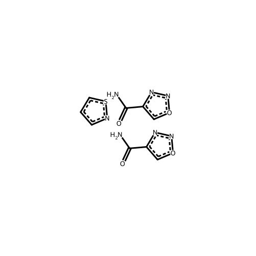 NC(=O)c1conn1.NC(=O)c1conn1.c1cnsc1